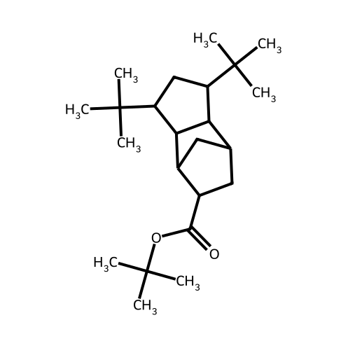 CC(C)(C)OC(=O)C1CC2CC1C1C2C(C(C)(C)C)CC1C(C)(C)C